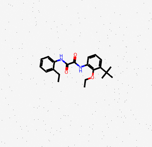 CCOc1c(NC(=O)C(=O)Nc2ccccc2CC)cccc1C(C)(C)C